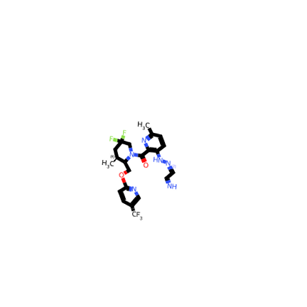 Cc1ccc(N/N=C\C=N)c(C(=O)N2CC(F)(F)C[C@@H](C)C2COc2ccc(C(F)(F)F)cn2)n1